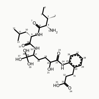 CC[C@H](C)[C@H](N)C(=O)N[C@@H](CC(C)C)C(=O)NC(CCC(O)C(=O)Nc1ccccc1CCC(=O)O)C(O)(O)O